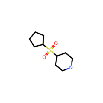 O=S(=O)(C1CCCC1)C1CC[N]CC1